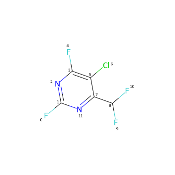 Fc1nc(F)c(Cl)c(C(F)F)n1